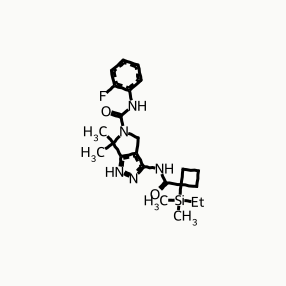 CC[Si](C)(C)C1(C(=O)Nc2n[nH]c3c2CN(C(=O)Nc2ccccc2F)C3(C)C)CCC1